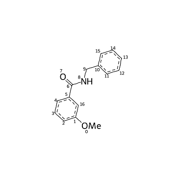 COc1cccc(C(=O)NCc2ccccc2)c1